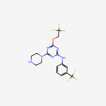 FC(F)(F)COc1nc(Nc2cccc(C(F)(F)F)c2)nc(N2CCNCC2)n1